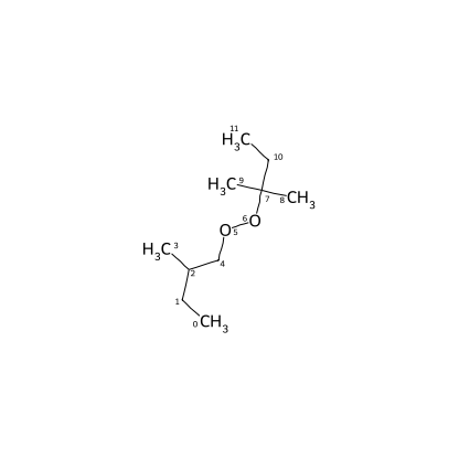 CCC(C)COOC(C)(C)CC